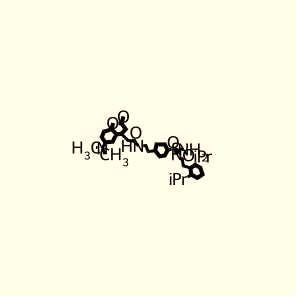 CC(C)c1cccc(C(C)C)c1CC(=O)N=S(N)(=O)c1ccc(CCNC(=O)Cc2cc(=O)oc3ccc(N(C)C)cc23)cc1